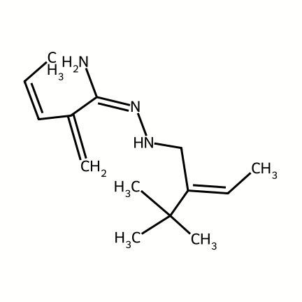 C=C(/C=C\C)/C(N)=N\NC/C(=C\C)C(C)(C)C